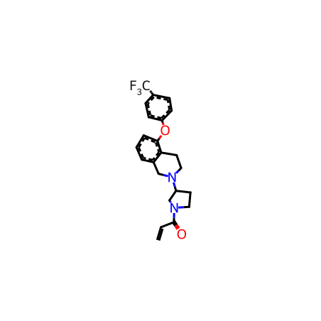 C=CC(=O)N1CCC(N2CCc3c(cccc3Oc3ccc(C(F)(F)F)cc3)C2)C1